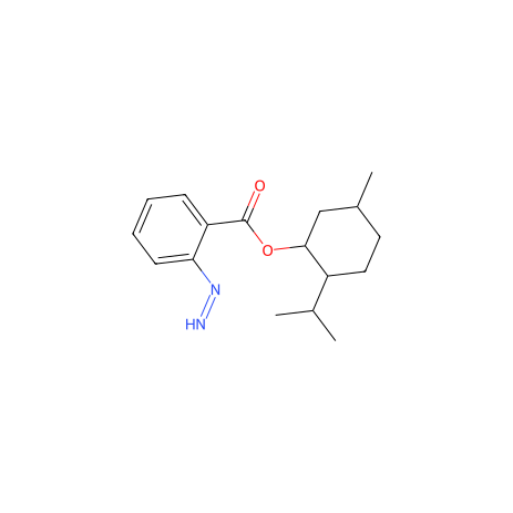 CC1CCC(C(C)C)C(OC(=O)c2ccccc2N=N)C1